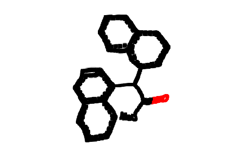 COC(=O)C(c1cccc2ccccc12)c1cccc2ccccc12